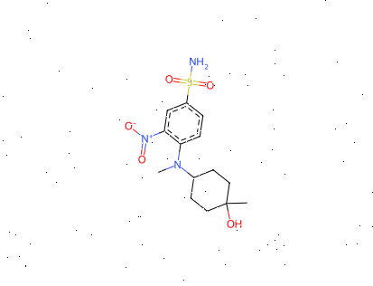 CN(c1ccc(S(N)(=O)=O)cc1[N+](=O)[O-])C1CCC(C)(O)CC1